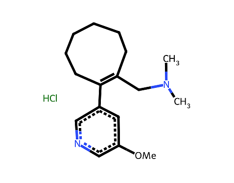 COc1cncc(/C2=C(\CN(C)C)CCCCCC2)c1.Cl